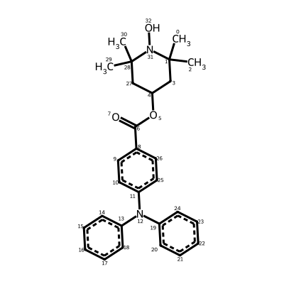 CC1(C)CC(OC(=O)c2ccc(N(c3ccccc3)c3ccccc3)cc2)CC(C)(C)N1O